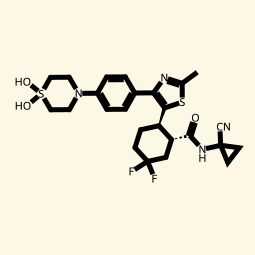 Cc1nc(-c2ccc(N3CCS(O)(O)CC3)cc2)c([C@@H]2CCC(F)(F)C[C@H]2C(=O)NC2(C#N)CC2)s1